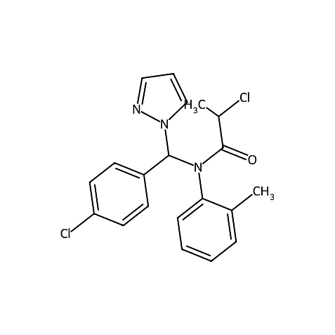 Cc1ccccc1N(C(=O)C(C)Cl)C(c1ccc(Cl)cc1)n1cccn1